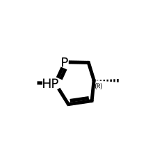 C[C@@H]1C=C[PH](C)=PC1